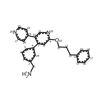 NCc1cccc(-c2cc(OCCCc3ccccc3)ncc2-c2ccncc2)c1